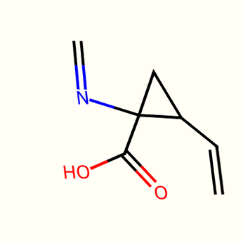 C=CC1CC1(N=C)C(=O)O